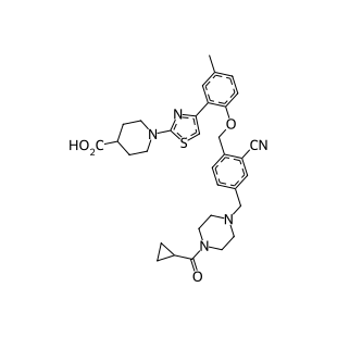 Cc1ccc(OCc2ccc(CN3CCN(C(=O)C4CC4)CC3)cc2C#N)c(-c2csc(N3CCC(C(=O)O)CC3)n2)c1